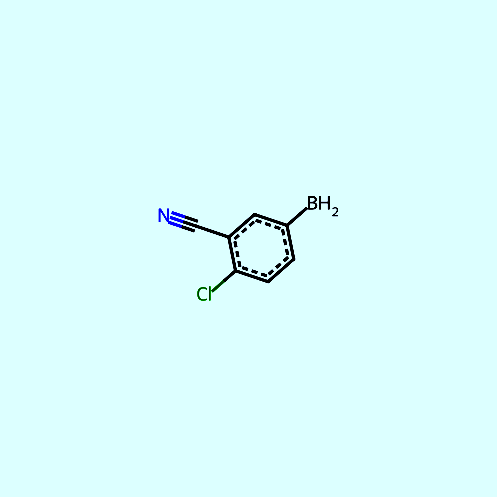 Bc1ccc(Cl)c(C#N)c1